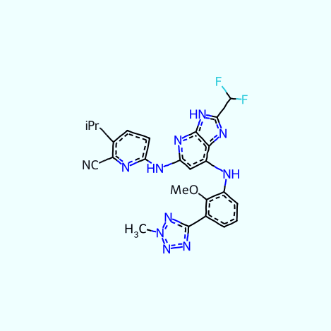 COc1c(Nc2cc(Nc3ccc(C(C)C)c(C#N)n3)nc3[nH]c(C(F)F)nc23)cccc1-c1nnn(C)n1